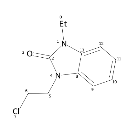 CCn1c(=O)n(CCCl)c2ccccc21